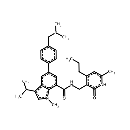 CCCc1cc(C)[nH]c(=O)c1CNC(=O)c1cc(-c2ccc(CN(C)C)cc2)cc2c(C(C)C)cn(C)c12